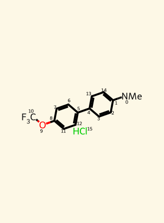 CNc1ccc(-c2ccc(OC(F)(F)F)cc2)cc1.Cl